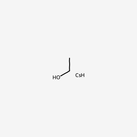 CCO.[CsH]